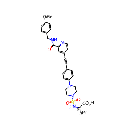 CCC[C@H](NS(=O)(=O)N1CCN(c2ccc(C#Cc3ccnc(C(=O)NCc4ccc(OC)cc4)c3)cc2)CC1)C(=O)O